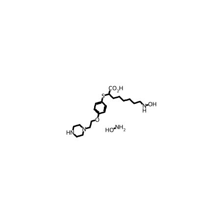 NO.O=C(O)C(CCCCCCNO)Sc1ccc(OCCN2CCNCC2)cc1